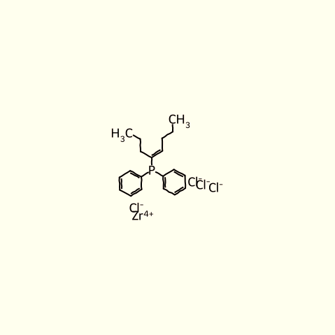 CCCC=C(CCC)P(c1ccccc1)c1ccccc1.[Cl-].[Cl-].[Cl-].[Cl-].[Zr+4]